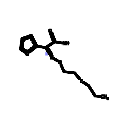 CCCCCCO/N=C(\C([NH])=O)c1ccco1